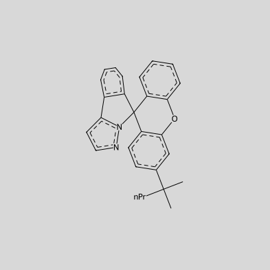 CCCC(C)(C)c1ccc2c(c1)Oc1ccccc1C21c2ccccc2-c2ccnn21